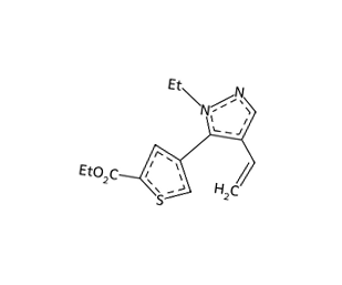 C=Cc1cnn(CC)c1-c1csc(C(=O)OCC)c1